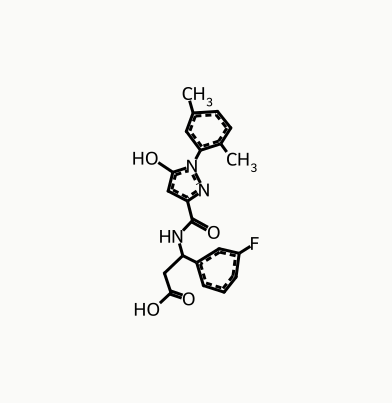 Cc1ccc(C)c(-n2nc(C(=O)NC(CC(=O)O)c3cccc(F)c3)cc2O)c1